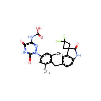 Cc1cc(-n2nc(NC(=O)O)c(=O)[nH]c2=O)cc(C)c1Cc1ccc2c(c1)C1(CC(F)(F)C1)C(=O)N2